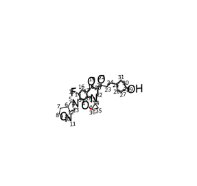 COc1c(N2CC3CCCN(C)C3C2)c(F)cc2c(=O)c(C(=O)C=Cc3ccc(O)cc3)cn(C3CC3)c12